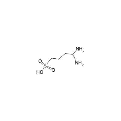 NC(N)CCCS(=O)(=O)O